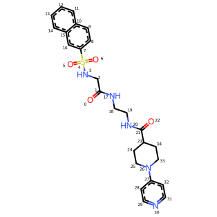 O=C(CNS(=O)(=O)c1ccc2ccccc2c1)NCCNC(=O)C1CCN(c2ccncc2)CC1